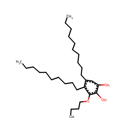 CCCCCCCCCCc1cc(O)c(O)c(OCCCC)c1CCCCCCCCCC